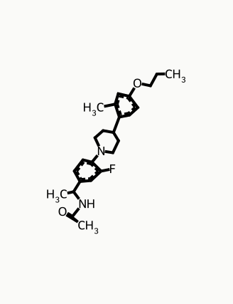 CCCOc1ccc(C2CCN(c3ccc(C(C)NC(C)=O)cc3F)CC2)c(C)c1